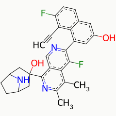 C#Cc1c(F)ccc2cc(O)cc(-c3ncc4c(C5(O)CC6CCC(C5)N6)nc(C)c(C)c4c3F)c12